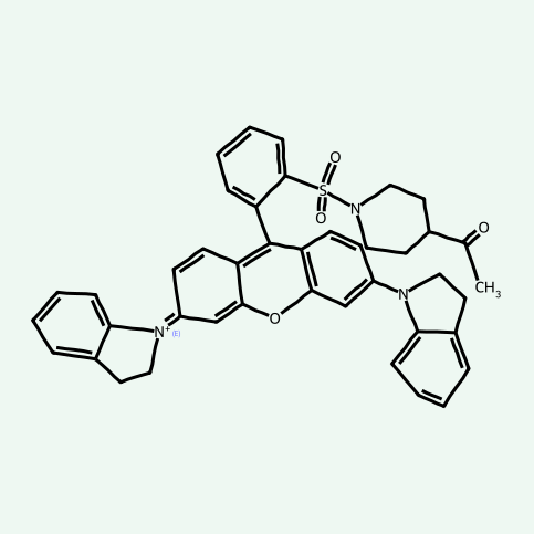 CC(=O)C1CCN(S(=O)(=O)c2ccccc2-c2c3cc/c(=[N+]4/CCc5ccccc54)cc-3oc3cc(N4CCc5ccccc54)ccc23)CC1